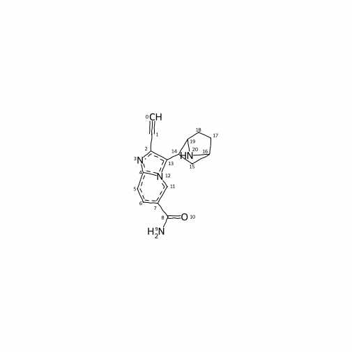 C#Cc1nc2ccc(C(N)=O)cn2c1C1CC2CCC1N2